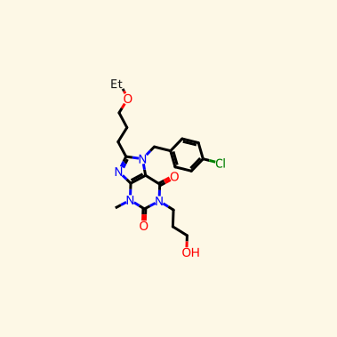 CCOCCCc1nc2c(c(=O)n(CCCO)c(=O)n2C)n1Cc1ccc(Cl)cc1